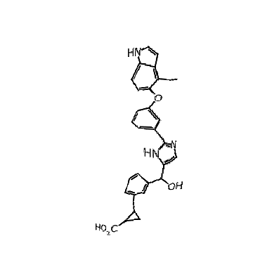 Cc1c(Oc2cccc(-c3ncc(C(O)c4cccc(C5CC5C(=O)O)c4)[nH]3)c2)ccc2[nH]ccc12